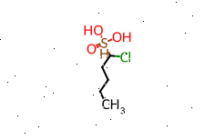 CCCCC(Cl)[SH](=O)(O)O